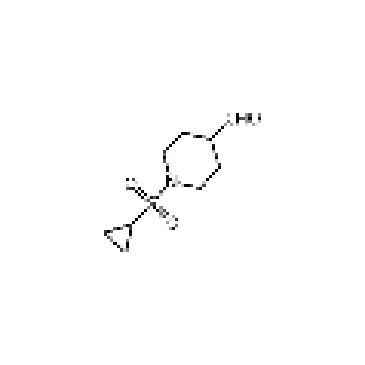 O=CC1CCN(S(=O)(=O)C2CC2)CC1